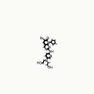 O=c1c(Br)cc2cnc(Nc3ccc(N(CCO)CCO)cn3)nc2n1C1CCCC1